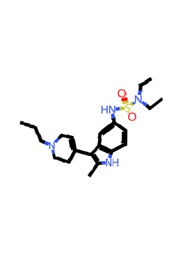 CCCN1CC=C(c2c(C)[nH]c3ccc(NS(=O)(=O)N(CC)CC)cc23)CC1